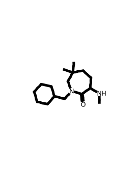 CNC1CCC(C)(C)CN(CC2CCCCC2)C1=O